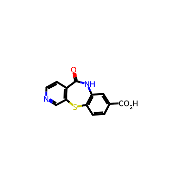 O=C(O)c1ccc2c(c1)NC(=O)c1ccncc1S2